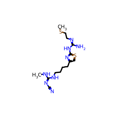 CN/C(=N/C#N)NCCCCc1csc(N/C(N)=N\CCSC)n1